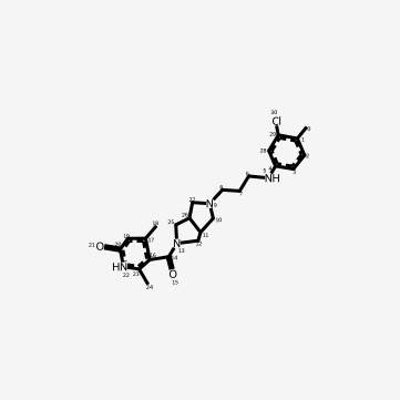 Cc1ccc(NCCCN2CC3CN(C(=O)c4c(C)cc(=O)[nH]c4C)CC3C2)cc1Cl